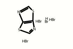 Br.Br.Br.Br.c1nc2scnc2s1